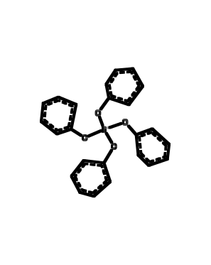 c1ccc(O[B-](Oc2ccccc2)(Oc2ccccc2)Oc2ccccc2)cc1